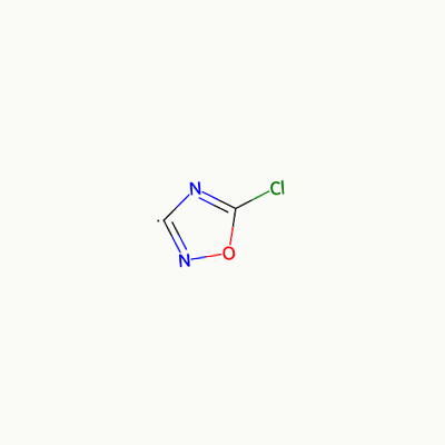 Clc1n[c]no1